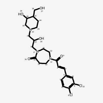 O=C(C=Cc1ccc(Cl)c(Cl)c1)N1CCC(=O)N(CC(O)CN2CCC(CO)C(O)C2)CC1